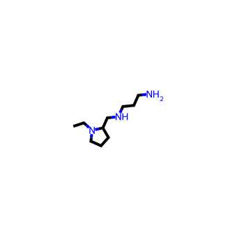 CCN1CCCC1CNCCCN